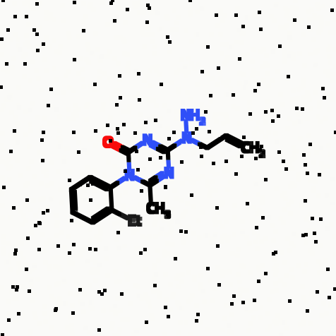 C=CCN(N)c1nc(C)n(-c2ccccc2CC)c(=O)n1